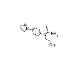 NC(=S)N(CCO)c1ccc(-n2cccn2)cc1